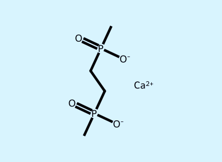 CP(=O)([O-])CCP(C)(=O)[O-].[Ca+2]